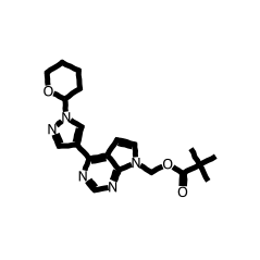 CC(C)(C)C(=O)OCn1ccc2c(-c3cnn(C4CCCCO4)c3)ncnc21